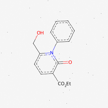 CCOC(=O)c1ccc(CO)n(-c2ccccc2)c1=O